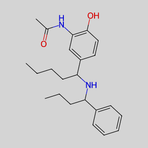 CCCCC(NC(CCC)c1ccccc1)c1ccc(O)c(NC(C)=O)c1